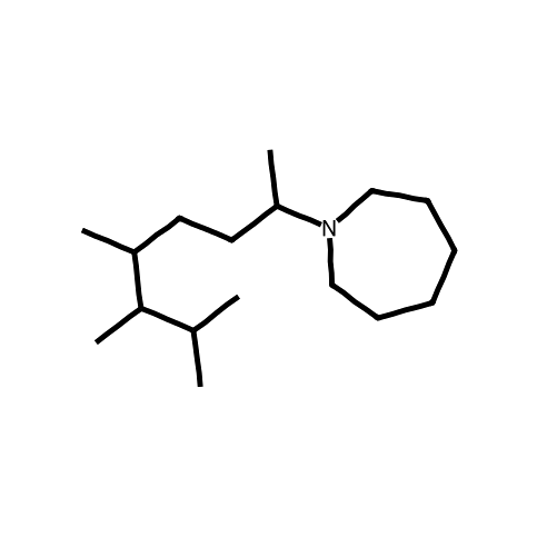 CC(C)C(C)C(C)CCC(C)N1CCCCCC1